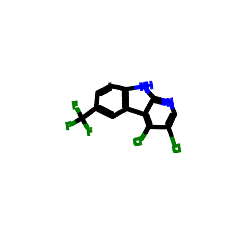 FC(F)(F)c1c[c]c2[nH]c3ncc(Cl)c(Cl)c3c2c1